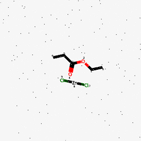 CCOC(=O)CC.[Cl][Zn][Cl]